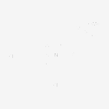 COS(=O)(=O)CCC[C@@H](C)N(c1cc(Cl)ccc1Cl)S(=O)(=O)c1ccc(Cl)cc1